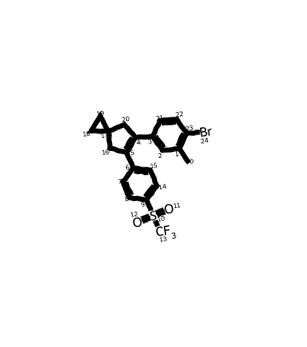 Cc1cc(C2=C(c3ccc(S(=O)(=O)C(F)(F)F)cc3)CC3(CC3)C2)ccc1Br